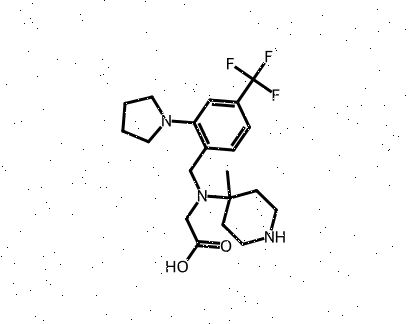 CC1(N(CC(=O)O)Cc2ccc(C(F)(F)F)cc2N2CCCC2)CCNCC1